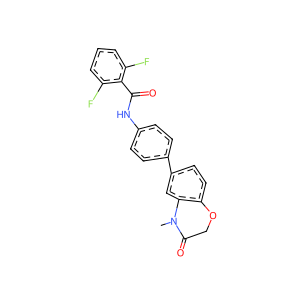 CN1C(=O)COc2ccc(-c3ccc(NC(=O)c4c(F)cccc4F)cc3)cc21